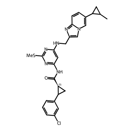 CSc1nc(NCc2cn3cc(C4CC4C)ccc3n2)cc(NC(=O)[C@H]2CC2c2cccc(Cl)c2)n1